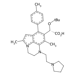 Cc1ccc(-c2c([C@H](OC(C)(C)C)C(=O)O)c(C)c3c4c2cc(C)n4CCN3CCN2CCCC2)cc1